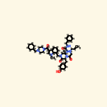 C=CCN1CC(=O)N2[C@@H](Cc3ccc(O)cc3)C(=O)N(Cc3cccc4c(C(=O)N5CCN(CC6CCCCC6)CC5)cn(C)c34)C[C@@H]2N1C(=O)NCc1ccccc1